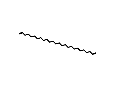 C=CCCCCCCCCCCCCCCCCCCCCCCC=C